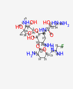 CN[C@@H]1C(O)[C@@H](OC2C(O)C(O[C@H]3O[C@H](CNC(=N)CF)CCC3N)[C@@H](N)C[C@H]2NC(=O)[C@@H](O)CNN)OCC1(C)O